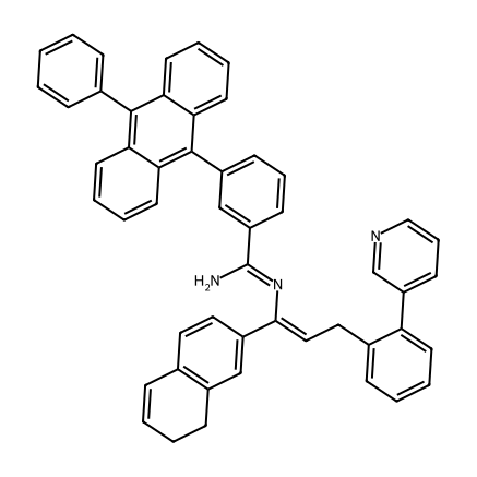 N/C(=N\C(=C/Cc1ccccc1-c1cccnc1)c1ccc2c(c1)CCC=C2)c1cccc(-c2c3ccccc3c(-c3ccccc3)c3ccccc23)c1